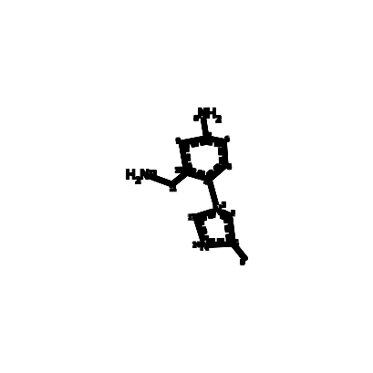 Cc1cn(-c2ccc(N)cc2CN)cn1